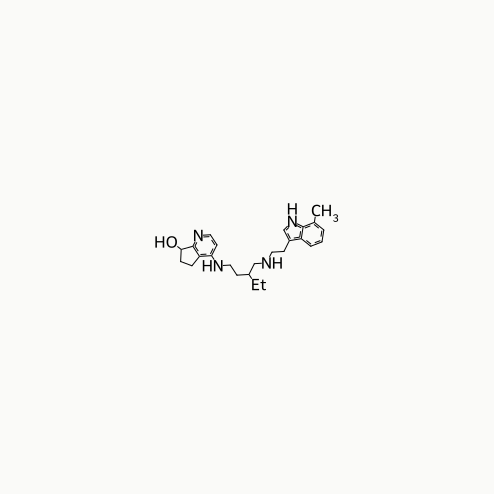 CCC(CCNc1ccnc2c1CCC2O)CNCCc1c[nH]c2c(C)cccc12